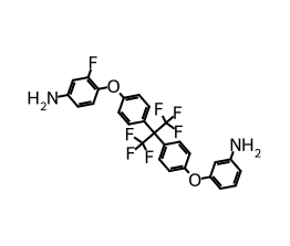 Nc1cccc(Oc2ccc(C(c3ccc(Oc4ccc(N)cc4F)cc3)(C(F)(F)F)C(F)(F)F)cc2)c1